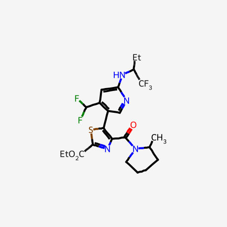 CCOC(=O)c1nc(C(=O)N2CCCCC2C)c(-c2cnc(NC(CC)C(F)(F)F)cc2C(F)F)s1